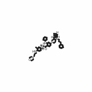 Cc1cc(S(=O)(=O)NC(=O)c2ccc(N3CCC(N(CCCc4ccccc4)[C@H]4C[C@H]5C[C@@H]([C@@H]4C)C5(C)C)CC3)cc2Oc2ccccc2)ccc1NCCCN1CCOCC1